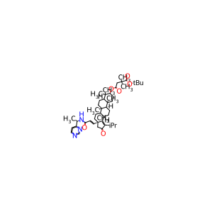 CC(C)C1=C2[C@H]3CC[C@@H]4[C@@]5(C)CC[C@H](OC(=O)CC(C)(C)C(=O)OC(C)(C)C)C(C)(C)[C@@H]5CC[C@@]4(C)[C@]3(C)CC[C@@]2(C=CC(=O)N[C@H](C)c2ccncn2)CC1=O